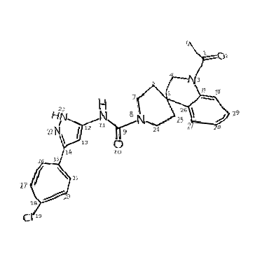 CC(=O)N1CC2(CCN(C(=O)Nc3cc(-c4ccc(Cl)cc4)n[nH]3)CC2)c2ccccc21